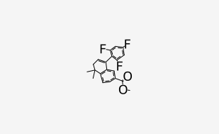 COC(=O)c1ccc2c(c1)C(c1c(F)cc(F)cc1F)=CCC2(C)C